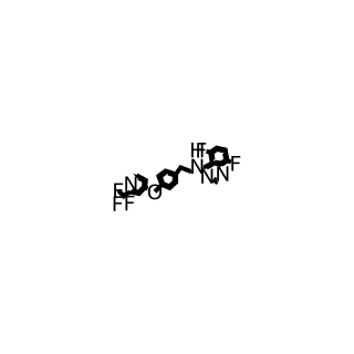 Fc1ccc(F)c2c(NCCc3ccc(Oc4ccnc(C(F)(F)F)c4)cc3)ncnc12